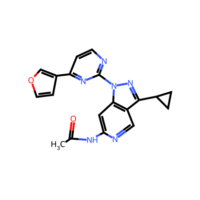 CC(=O)Nc1cc2c(cn1)c(C1CC1)nn2-c1nccc(-c2ccoc2)n1